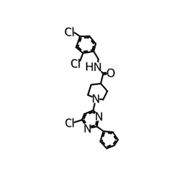 O=C(NCc1ccc(Cl)cc1Cl)C1CCN(c2cc(Cl)nc(-c3ccccc3)n2)CC1